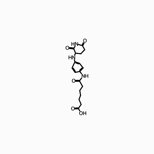 O=C(O)CCCCCC(=O)Nc1ccc(NC2CCC(=O)NC2=O)cc1